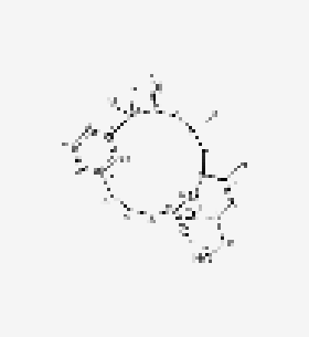 CC[C@H](/C=C(/C)[C@@H]1C[C@@H](C)C[C@H](O)C(C)(C)c2cccc(c2)CCCC(=O)O1)CO